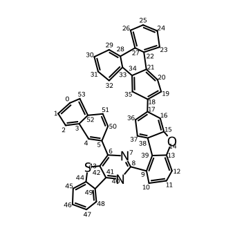 c1ccc2cc(-c3nc(-c4cccc5oc6cc(-c7ccc8c9ccccc9c9ccccc9c8c7)ccc6c45)nc4c3sc3ccccc34)ccc2c1